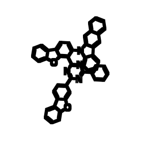 c1ccc(-c2nc(-c3ccc4c(c3)oc3ccccc34)nc(-c3c(-n4c5ccccc5c5cc6ccccc6cc54)ccc4c3oc3ccccc34)n2)cc1